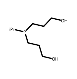 CC(C)P(CCCO)CCCO